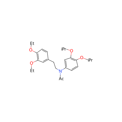 CCOc1ccc(CCN(C(C)=O)c2ccc(OC(C)C)c(OC(C)C)c2)cc1OCC